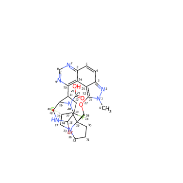 Cn1nc2ccc3ncnc(C4CC5(F)C(Br)NCC4N5C(=O)O)c3c2c1OC[C@@]12CCCN1C[C@H](F)C2